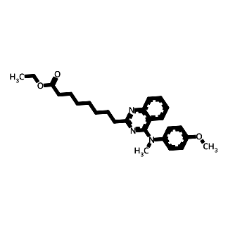 CCOC(=O)CCCCCCCc1nc(N(C)c2ccc(OC)cc2)c2ccccc2n1